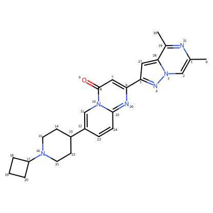 Cc1cn2nc(-c3cc(=O)n4cc(C5CCN(C6CCC6)CC5)ccc4n3)cc2c(C)n1